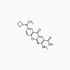 CN(c1ccc2oc3nc(N)c(C(=O)O)cc3c(=O)c2c1)C1CCC1